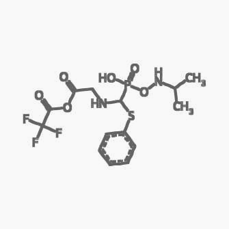 CC(C)NOP(=O)(O)C(NCC(=O)OC(=O)C(F)(F)F)Sc1ccccc1